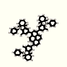 Cc1cc(-c2ccc3ccc4c(-c5cc(C)c6c(c5)C5(C)CCCCC5(C)N6c5ccccc5)cc(-c5cc(C)c6c(c5)C5(C)CCCCC5(C)N6c5ccccc5)c5ccc2c3c45)cc2c1N(c1ccccc1)C1(C)CCCCC21C